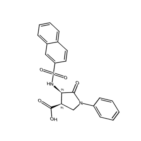 O=C(O)[C@@H]1CN(c2ccccc2)C(=O)[C@@H]1NS(=O)(=O)c1ccc2ccccc2c1